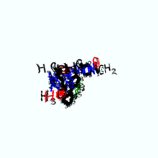 C=CC(=O)N1CCN(c2nc(=O)n(-c3c(C(C)C)ncnc3C(C)C)c3nc(-c4c(O)cccc4F)c(F)cc23)C(C)C1